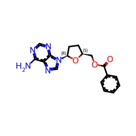 Nc1ncnc2c1ncn2[C@H]1CC[C@@H](COC(=O)c2ccccc2)O1